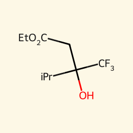 CCOC(=O)CC(O)(C(C)C)C(F)(F)F